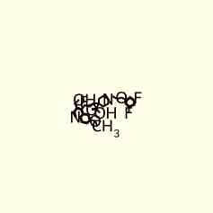 COc1ccc2ncc(CO)c([C@H](F)CCC3(C(=O)O)CCN(CCOc4cc(F)cc(F)c4)CC3)c2c1